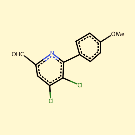 COc1ccc(-c2nc([C]=O)cc(Cl)c2Cl)cc1